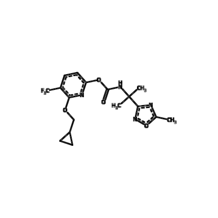 Cc1nc(C(C)(C)NC(=O)Oc2ccc(C(F)(F)F)c(OCC3CC3)n2)no1